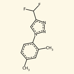 Cc1ccc(-n2cc(C(F)F)nn2)c(C)c1